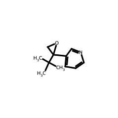 CC(C)(C)C1(c2cccnc2)CO1